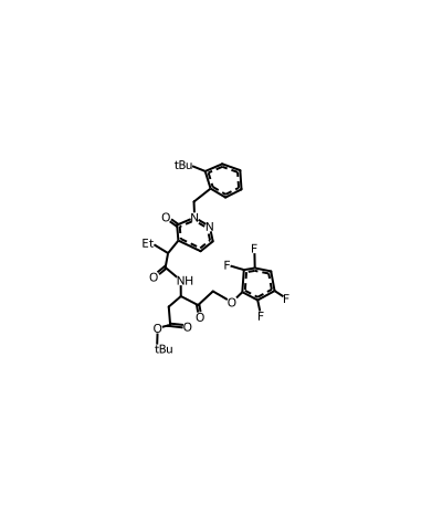 CCC(C(=O)NC(CC(=O)OC(C)(C)C)C(=O)COc1c(F)c(F)cc(F)c1F)c1ccnn(Cc2ccccc2C(C)(C)C)c1=O